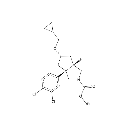 CC(C)(C)OC(=O)N1C[C@H]2C[C@@H](OCC3CC3)C[C@@]2(c2ccc(Cl)c(Cl)c2)C1